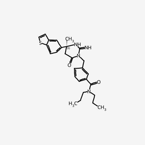 CCCN(CCC)C(=O)c1cccc(CN2C(=N)N[C@](C)(c3ccc4sccc4c3)CC2=O)c1